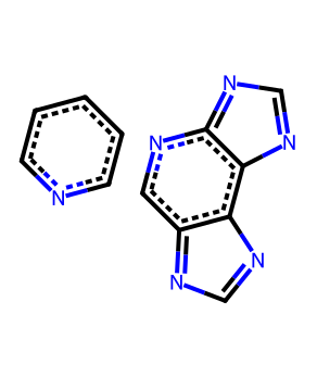 C1=Nc2c3c(ncc2=N1)=NC=N3.c1ccncc1